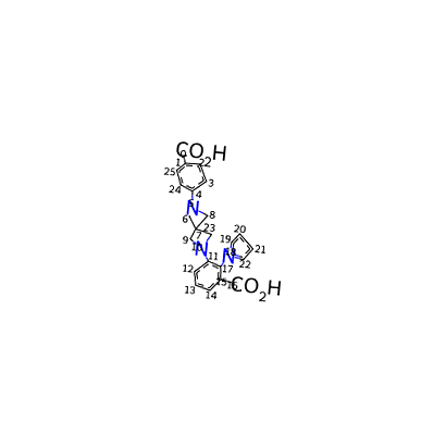 O=C(O)c1ccc(N2CC3(C2)CN(c2cccc(C(=O)O)c2-n2cccc2)C3)cc1